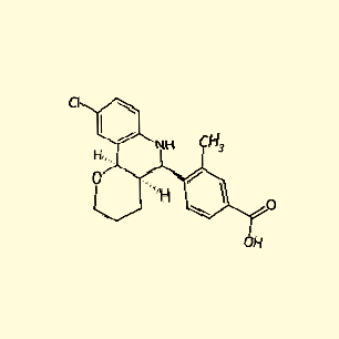 Cc1cc(C(=O)O)ccc1[C@@H]1Nc2ccc(Cl)cc2[C@@H]2OCCC[C@H]12